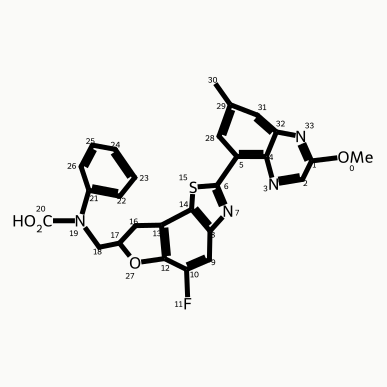 COc1cnc2c(-c3nc4cc(F)c5c(c4s3)CC(CN(C(=O)O)c3ccccc3)O5)cc(C)cc2n1